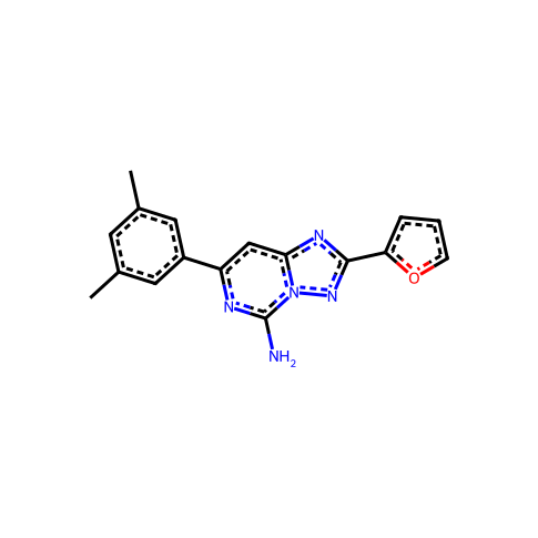 Cc1cc(C)cc(-c2cc3nc(-c4ccco4)nn3c(N)n2)c1